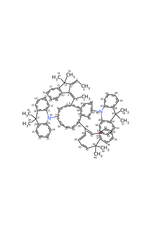 C/C=C1\C(=C(/C)c2ccc(N3c4ccccc4C(C)(C)c4ccccc43)cccc(C3=C/c4ccccc4C(C)(C)\C=C/C=C/3)c3cc(N4c5ccccc5C(C)(C)c5ccccc54)ccc23)c2ccccc2C1(C)C